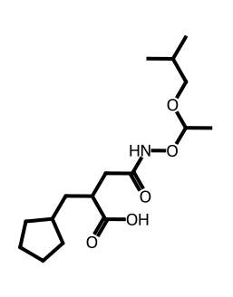 CC(C)COC(C)ONC(=O)CC(CC1CCCC1)C(=O)O